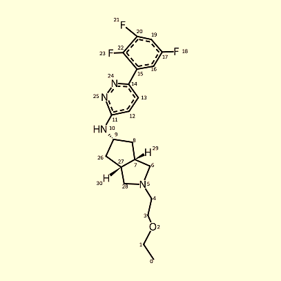 CCOCCN1C[C@H]2C[C@@H](Nc3ccc(-c4cc(F)cc(F)c4F)nn3)C[C@H]2C1